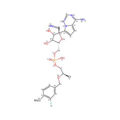 CC[C@H](COP(=O)(O)OC[C@H]1O[C@@](C=N)(c2ccc3c(N)ncnn23)C(O)C1O)OCc1ccc(OC)c(F)c1